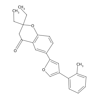 CCC1(CC)CC(=O)c2cc(-c3cc(-c4ccccc4C)co3)ccc2O1